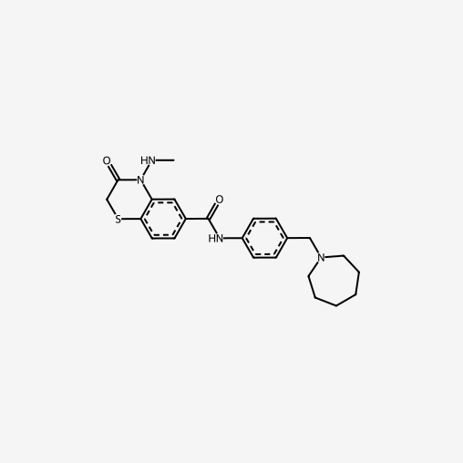 CNN1C(=O)CSc2ccc(C(=O)Nc3ccc(CN4CCCCCC4)cc3)cc21